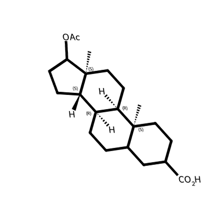 CC(=O)OC1CC[C@H]2[C@@H]3CCC4CC(C(=O)O)CC[C@]4(C)[C@@H]3CC[C@]12C